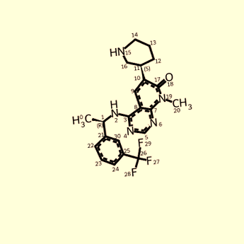 C[C@@H](Nc1ncnc2c1cc([C@@H]1CCCNC1)c(=O)n2C)c1cccc(C(F)(F)F)c1